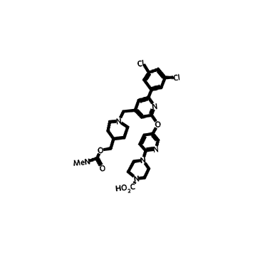 CNC(=O)OCC1CCN(Cc2cc(Oc3ccc(N4CCN(C(=O)O)CC4)nc3)nc(-c3cc(Cl)cc(Cl)c3)c2)CC1